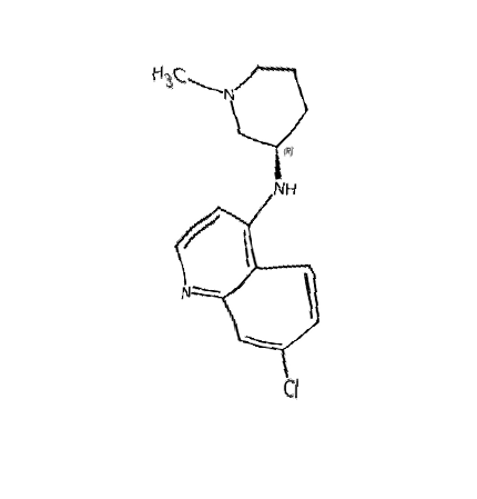 CN1CCC[C@@H](Nc2ccnc3cc(Cl)ccc23)C1